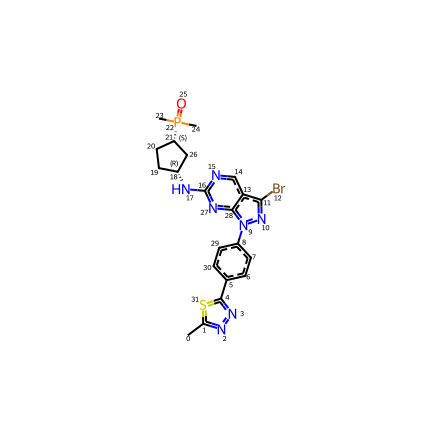 Cc1nnc(-c2ccc(-n3nc(Br)c4cnc(N[C@@H]5CC[C@H](P(C)(C)=O)C5)nc43)cc2)s1